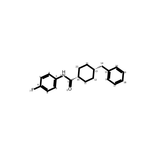 O=C(Nc1ccc(F)cc1)[C@H]1CC[C@@H](Cc2ccccc2)CC1